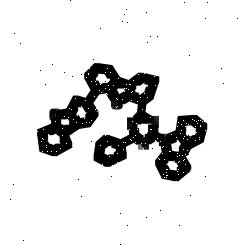 c1ccc(-c2nc(-c3cccc4c3oc3c(-c5ccc6c(c5)oc5ccccc56)cccc34)nc(-n3c4ccccc4c4ccccc43)n2)cc1